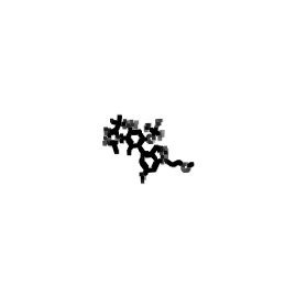 COCCn1ncc2c(-c3c(OC(F)(F)F)cc4c(c3C)-n3c(C)nnc3C(C)(C)N4)cc(F)cc21